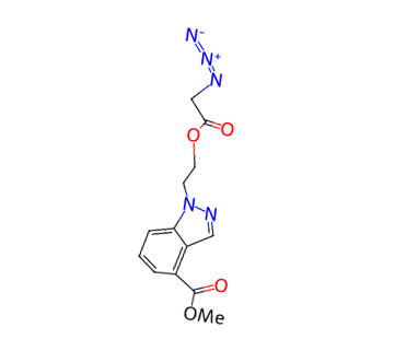 COC(=O)c1cccc2c1cnn2CCOC(=O)CN=[N+]=[N-]